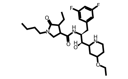 CCCCN1CC(C(=O)N[C@@H](Cc2cc(F)cc(F)c2)[C@H](O)C2CC(OCC)CCN2)C(CC)C1=O